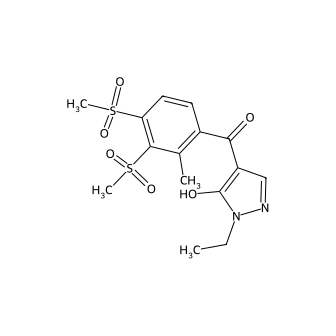 CCn1ncc(C(=O)c2ccc(S(C)(=O)=O)c(S(C)(=O)=O)c2C)c1O